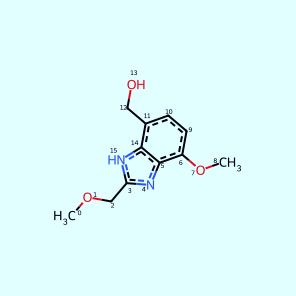 COCc1nc2c(OC)ccc(CO)c2[nH]1